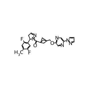 Cc1cc(F)c(C2CC=NN2C(=O)C23CC(COc4cnc(-n5cccn5)cn4)(C2)C3)cc1F